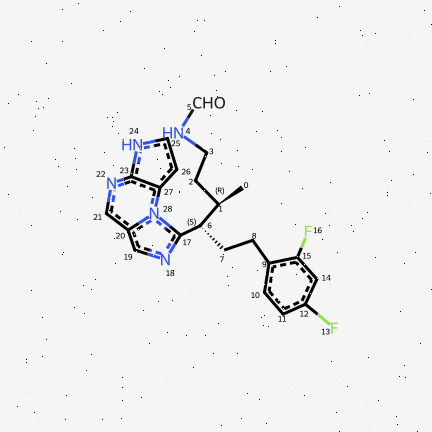 C[C@H](CCNC=O)[C@H](CCc1ccc(F)cc1F)c1ncc2cnc3[nH]ccc3n12